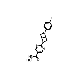 O=C(NO)c1cnc(N2CC3C2CN3c2ccc(F)cc2)nc1